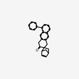 O=C1Cc2cc3c(-c4ccccc4)cccc3cc2CC12CC1C=CC2C1